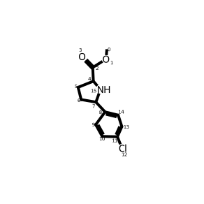 COC(=O)C1CCC(c2ccc(Cl)cc2)N1